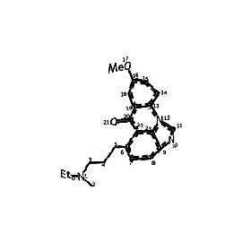 CCN(C)CCCc1ccc2ncn3c4ccc(OC)cc4c(=O)c1c23